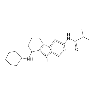 CC(C)C(=O)Nc1ccc2[nH]c3c(c2c1)CCCC3NC1CCCCC1